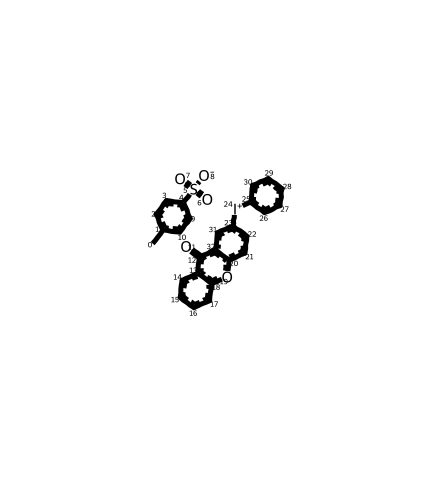 Cc1ccc(S(=O)(=O)[O-])cc1.O=c1c2ccccc2oc2ccc([I+]c3ccccc3)cc12